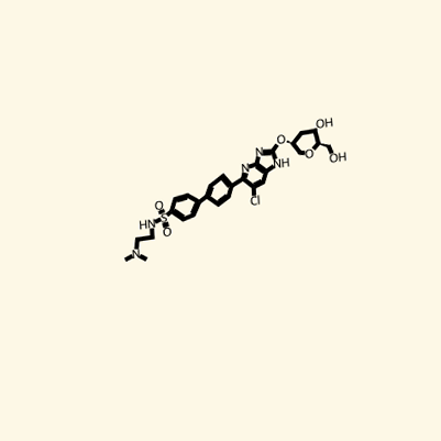 CN(C)CCNS(=O)(=O)c1ccc(-c2ccc(-c3nc4nc(O[C@H]5CO[C@H](CO)[C@@H](O)C5)[nH]c4cc3Cl)cc2)cc1